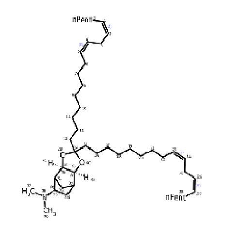 CCCCC/C=C\C/C=C\CCCCCCCCC1(CCCCCCCC/C=C\C/C=C\CCCCC)O[C@@H]2C3CC(C[C@H]3N(C)C)[C@@H]2O1